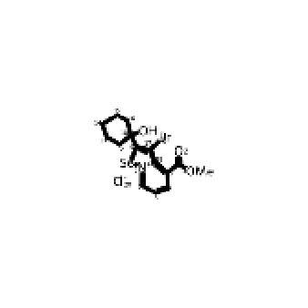 COC(=O)c1ccc[n+]2[se]c(C3(O)CCCCC3)c(Br)c12.[Cl-]